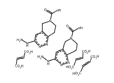 CCCC(=O)N1CCc2nnc(NN)cc2C1.CCCC(=O)N1CCc2nnc(NN)cc2C1.O=C(O)/C=C/C(=O)O.O=C(O)/C=C/C(=O)O.O=C(O)/C=C/C(=O)O